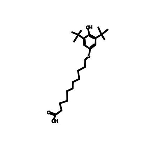 CC(C)(C)c1cc(SCCCCCCCCCCC(=O)O)cc(C(C)(C)C)c1O